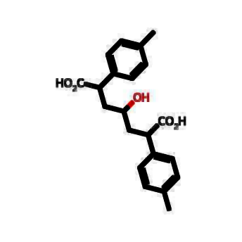 Cc1ccc(C(CC(O)CC(C(=O)O)c2ccc(C)cc2)C(=O)O)cc1